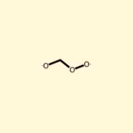 [O]CO[O]